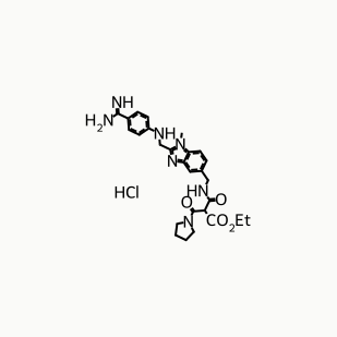 CCOC(=O)C(C(=O)NCc1ccc2c(c1)nc(CNc1ccc(C(=N)N)cc1)n2C)C(=O)N1CCCC1.Cl